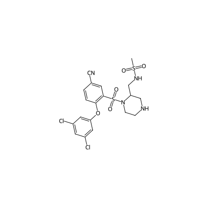 CS(=O)(=O)NCC1CNCCN1S(=O)(=O)c1cc(C#N)ccc1Oc1cc(Cl)cc(Cl)c1